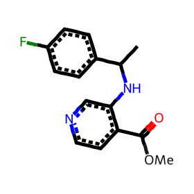 COC(=O)c1ccncc1NC(C)c1ccc(F)cc1